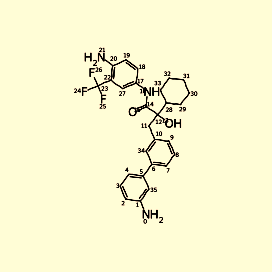 Nc1cccc(-c2cccc(CC(O)(C(=O)Nc3ccc(N)c(C(F)(F)F)c3)C3CCCCC3)c2)c1